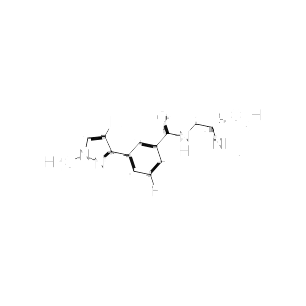 CCc1cn(C)nc1-c1cc(F)cc(C(=O)NC[C@@H](N)C(=O)O)c1